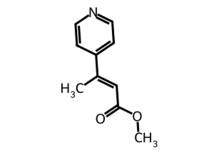 COC(=O)C=C(C)c1ccncc1